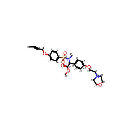 CC#CCOc1ccc(S(=O)(=O)N(C)C(C(=O)OC)c2ccc(OCCN3CCOCC3)cc2)cc1